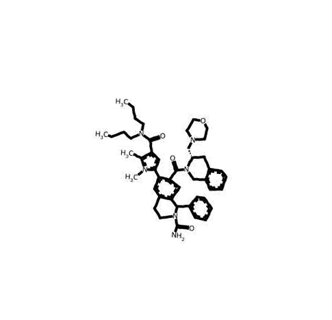 CCCCN(CCCC)C(=O)c1cc(-c2cc3c(cc2C(=O)N2Cc4ccccc4C[C@H]2CN2CCOCC2)C(c2ccccc2)N(C(N)=O)CC3)n(C)c1C